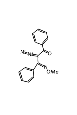 CON=C(C(=[N+]=[N-])C(=O)c1ccccc1)c1ccccc1